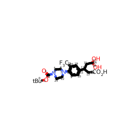 CC(C)(C)OC(=O)N1CCN(c2ccc(C(CC(=O)O)CC(O)O)cc2C(F)(F)F)CC1